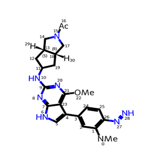 CNc1cc(-c2c[nH]c3nc(NC4C[C@@H]5CN(C(C)=O)C[C@@H]5C4)nc(OC)c23)ccc1N=N